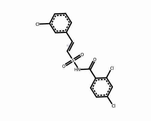 O=C(NS(=O)(=O)/C=C/c1cccc(Cl)c1)c1ccc(Cl)cc1Cl